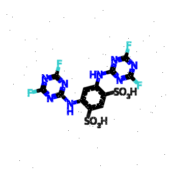 O=S(=O)(O)c1cc(S(=O)(=O)O)c(Nc2nc(F)nc(F)n2)cc1Nc1nc(F)nc(F)n1